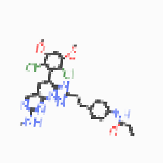 C=CC(=O)Nc1ccc(CCc2nc3c(-c4c(Cl)c(OC)cc(OC)c4Cl)cc4cnc(NC)nc4n3n2)cc1